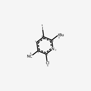 CC(C)(C)c1nc(Cl)c(C#N)cc1I